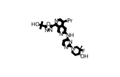 CC(C)c1cnc(-c2nnc(C(C)(C)O)o2)c2cnc(Nc3ccnc(N4CC[C@@H](O)[C@@](C)(F)C4)n3)cc12